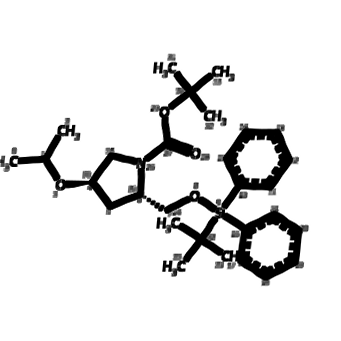 CC(C)O[C@@H]1C[C@@H](CO[Si](c2ccccc2)(c2ccccc2)C(C)(C)C)N(C(=O)OC(C)(C)C)C1